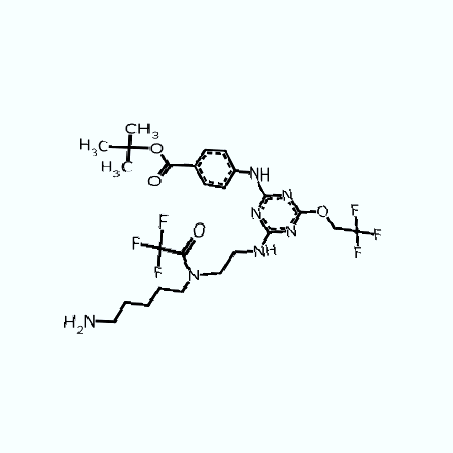 CC(C)(C)OC(=O)c1ccc(Nc2nc(NCCN(CCCCCN)C(=O)C(F)(F)F)nc(OCC(F)(F)F)n2)cc1